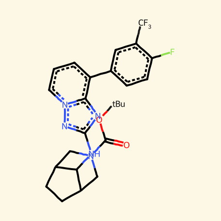 CC(C)(C)OC(=O)N1CC2CCC(C1)C2Nc1nc2c(-c3ccc(F)c(C(F)(F)F)c3)cccn2n1